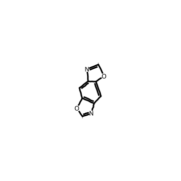 [c]1nc2cc3o[c]nc3cc2o1